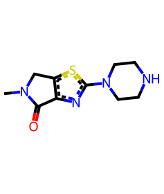 CN1Cc2sc(N3CCNCC3)nc2C1=O